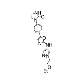 CCOCCn1cc(Nc2ncc(-c3ccc(N4CCNC4=O)cn3)o2)cn1